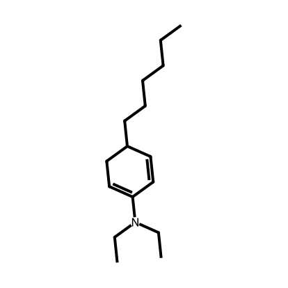 CCCCCCC1C=CC(N(CC)CC)=CC1